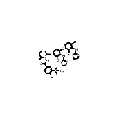 CC1CCCC(C)N1NC(=O)c1ccc(Cl)c(S(N)(=O)=O)c1.Clc1cccc(Cl)c1NC1=NCCN1.Clc1cccc(Cl)c1NC1=NCCN1